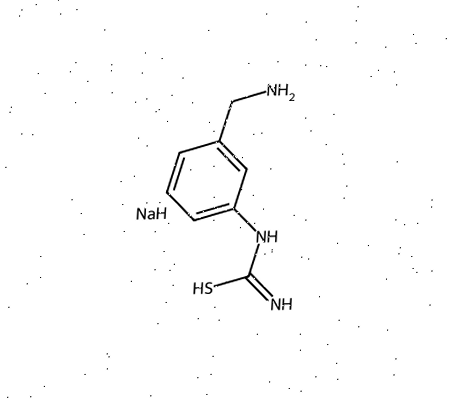 N=C(S)Nc1cccc(CN)c1.[NaH]